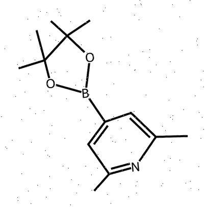 Cc1cc(B2OC(C)(C)C(C)(C)O2)cc(C)n1